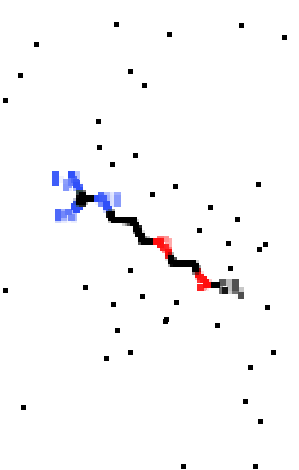 COCCOCCCNC(=N)N